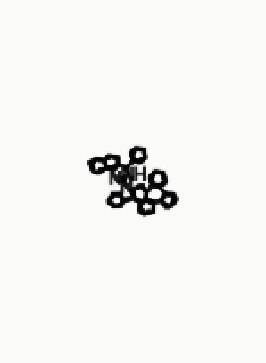 c1ccc(C2NC(n3c4ccccc4c4c5cccc6c5c(cc43)-c3ccccc3-c3ccccc3-6)=Nc3c2ccc2ccccc32)cc1